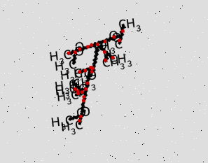 CCCCCCC(CCCC)COC(=O)CCCCCCCCC(CCCCCCCCC(=O)OCC(CCCC)CCCCCC)N(CCCCCCCCCCC(CC)CC(CCCCCC)COC(=O)CCCCCCCCC(CCCCCCCCC(=O)OCC(CCCC)CCCCCC)N(CC(CC)CCCC)C(=O)CCCN(C)C)C(=O)CCCCN(CCCC)CCCC